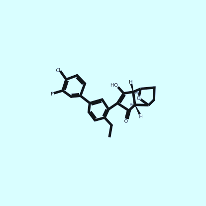 CCc1ccc(-c2ccc(Cl)c(F)c2)cc1C1=C(O)[C@@H]2C3CCC(O3)[C@@H]2C1=O